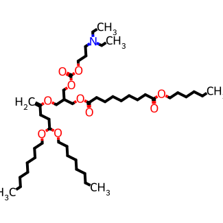 C=C(CCC(OCCCCCCCC)OCCCCCCCC)OCC(COC(=O)CCCCCCCC(=O)OCCCCCC)COC(=O)OCCCN(CC)CC